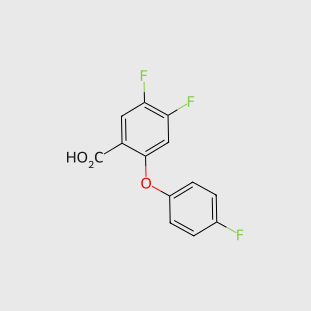 O=C(O)c1cc(F)c(F)cc1Oc1ccc(F)cc1